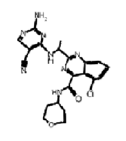 CC(Nc1nc(N)ncc1C#N)c1nc(C(=O)NC2CCOCC2)c2c(Cl)cccc2n1